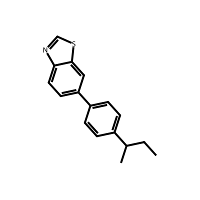 CCC(C)c1ccc(-c2ccc3ncsc3c2)cc1